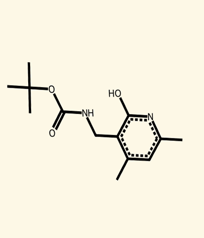 Cc1cc(C)c(CNC(=O)OC(C)(C)C)c(O)n1